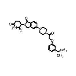 C[C@@H](N)c1cccc(OCC(=O)N2CCN(c3ccc4c(c3)CN(C3CCC(=O)NC3=O)C4=O)CC2)c1